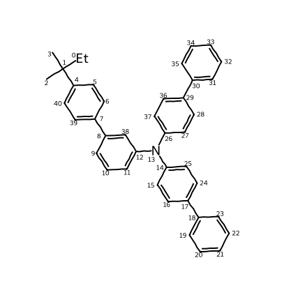 CCC(C)(C)c1ccc(-c2cccc(N(c3ccc(-c4ccccc4)cc3)c3ccc(-c4ccccc4)cc3)c2)cc1